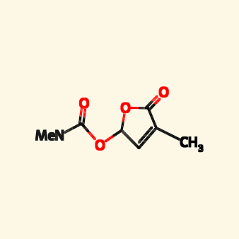 CNC(=O)OC1C=C(C)C(=O)O1